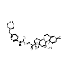 CC12C=CC(=O)C=C1CCC1C2[C@@H](O)CC2(C)C1CC[C@]2(O)C(=O)COC(=O)Nc1ccc(CN2CCOCC2)cc1